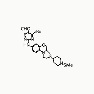 CCC(C)c1nc(Nc2ccc3c(c2)OCC2CN(C4CCN(SC)CC4)CCN32)ncc1C=O